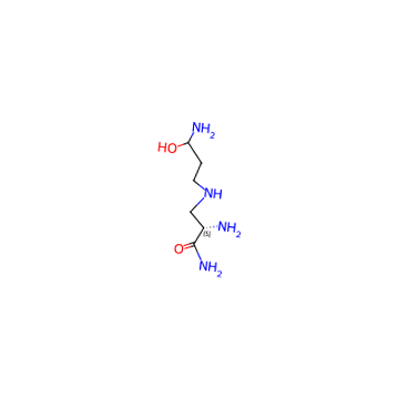 NC(=O)[C@@H](N)CNCCC(N)O